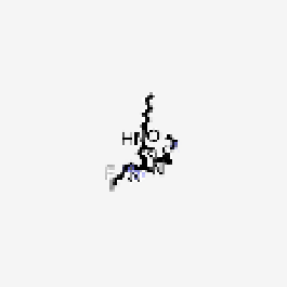 C=C(S/C=C\C)C1=NCC(C(/C=C\CC(F)F)=N/C)=C2CC(NC(=O)CCCCCC)CN12